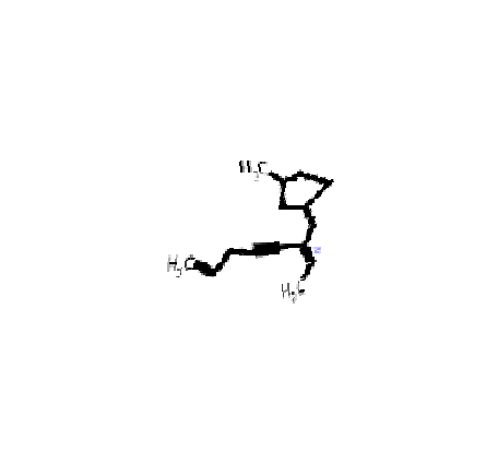 C=CCC#C/C(=C\C)CC1CCC(C)C1